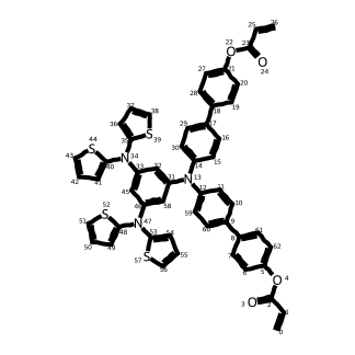 C=CC(=O)Oc1ccc(-c2ccc(N(c3ccc(-c4ccc(OC(=O)C=C)cc4)cc3)c3cc(N(c4cccs4)c4cccs4)cc(N(c4cccs4)c4cccs4)c3)cc2)cc1